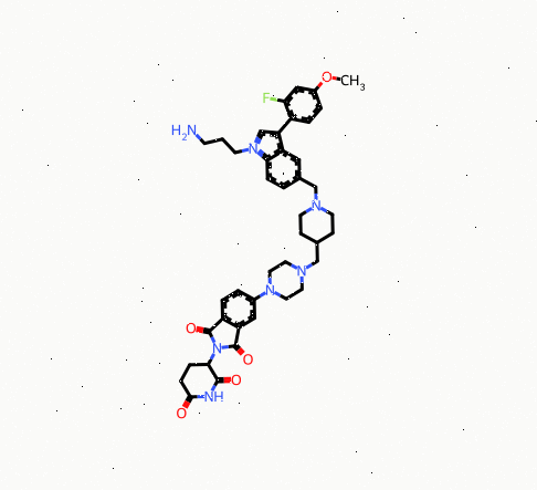 COc1ccc(-c2cn(CCCN)c3ccc(CN4CCC(CN5CCN(c6ccc7c(c6)C(=O)N(C6CCC(=O)NC6=O)C7=O)CC5)CC4)cc23)c(F)c1